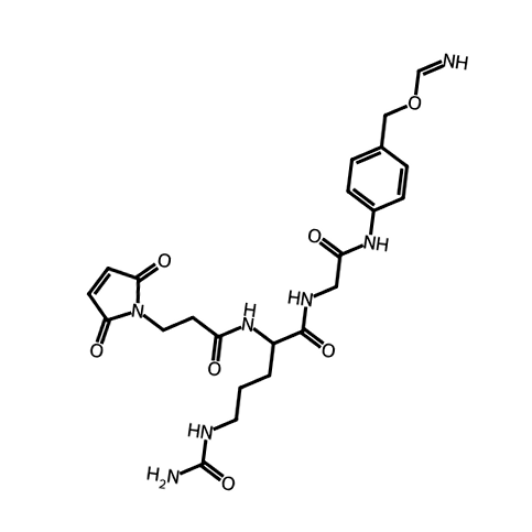 N=COCc1ccc(NC(=O)CNC(=O)C(CCCNC(N)=O)NC(=O)CCN2C(=O)C=CC2=O)cc1